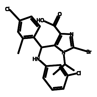 Cc1cc(Cl)ccc1C(Nc1cccc(Cl)c1)c1c(C(=O)O)nc(Br)n1C(C)C